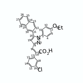 CCOc1ccc(-n2nc(/C=C(\C(=O)O)c3cccc(Cl)c3)cc2-c2ccc3ccccc3c2)cc1